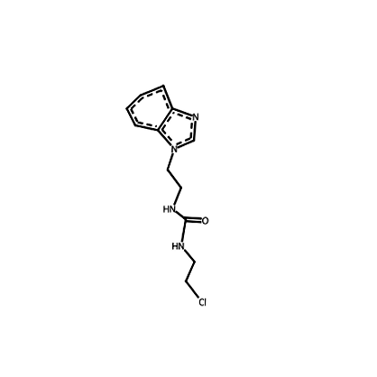 O=C(NCCCl)NCCn1cnc2ccccc21